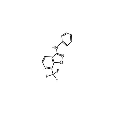 FC(F)(F)c1nccc2c(Nc3ccccc3)noc12